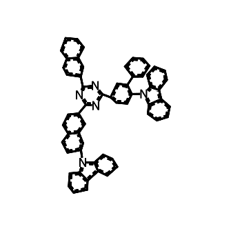 c1ccc(-c2cc(-c3nc(-c4ccc5ccccc5c4)nc(-c4ccc5ccc(-n6c7ccccc7c7ccccc76)cc5c4)n3)ccc2-n2c3ccccc3c3ccccc32)cc1